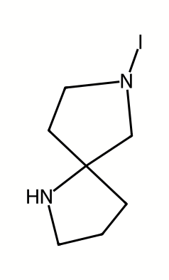 IN1CCC2(CCCN2)C1